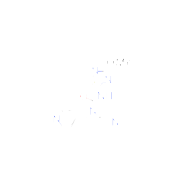 COc1nsc(NC(=O)N2C(c3ccncc3)CC23CCNC3)n1